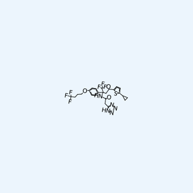 O=C(Cc1nnn[nH]1)NC(CC(=O)c1ccc(C2CC2)s1)(c1ccc(OCCCC(F)(F)F)cc1)C(F)(F)F